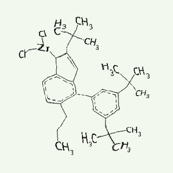 CCCc1ccc2c(c1-c1cc(C(C)(C)C)cc(C(C)(C)C)c1)C=C(C(C)(C)C)[CH]2[Zr]([Cl])[Cl]